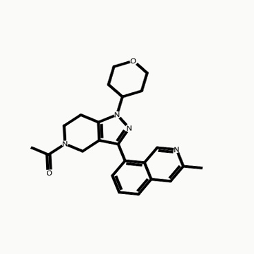 CC(=O)N1CCc2c(c(-c3cccc4cc(C)ncc34)nn2C2CCOCC2)C1